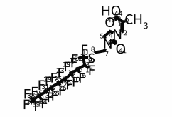 CC(=CN1CCN(CCSC(F)(F)C(F)C(F)(F)C(F)(F)C(F)(F)C(F)(F)C(F)(F)C(F)(F)C(F)(F)C(F)(F)F)C1=O)C(=O)O